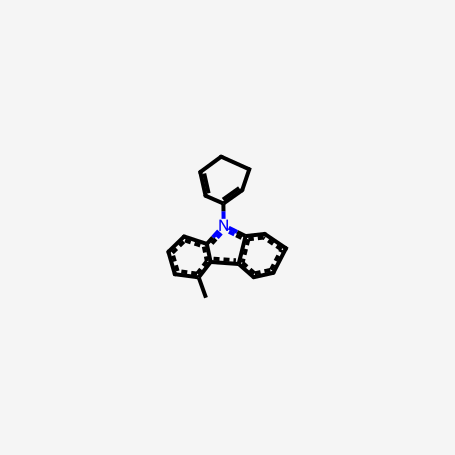 Cc1cccc2c1c1ccccc1n2C1=CCCC=C1